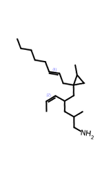 C/C=C\C(CC(C)CN)CC1(C/C=C/CCCCC)CC1C